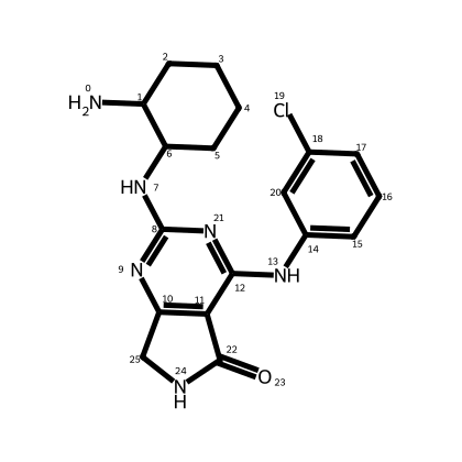 NC1CCCCC1Nc1nc2c(c(Nc3cccc(Cl)c3)n1)C(=O)NC2